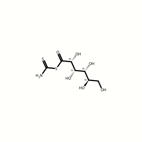 NC(=S)SC(=O)[C@H](O)[C@@H](O)[C@H](O)[C@H](O)CO